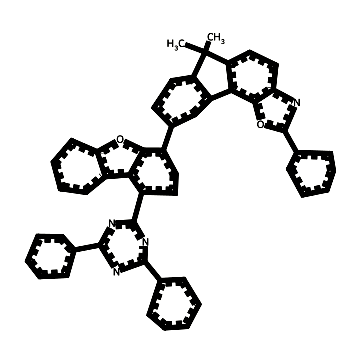 CC1(C)c2ccc(-c3ccc(-c4nc(-c5ccccc5)nc(-c5ccccc5)n4)c4c3oc3ccccc34)cc2-c2c1ccc1nc(-c3ccccc3)oc21